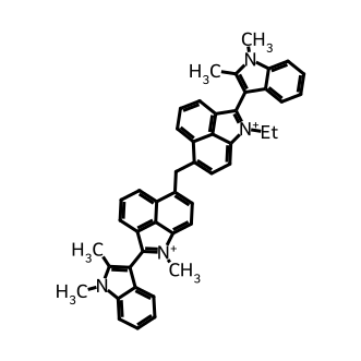 CC[N+]1=C(c2c(C)n(C)c3ccccc23)c2cccc3c(Cc4ccc5c6c(cccc46)C(c4c(C)n(C)c6ccccc46)=[N+]5C)ccc1c23